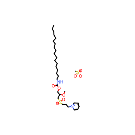 CCCCCCCCCCCCCCCCCCNC(=O)OCC(CS(=O)(=O)CCC[n+]1ccccc1)OC.CS(=O)(=O)[O-]